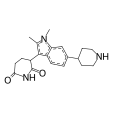 Cc1c(C2CCC(=O)NC2=O)c2ccc(C3CCNCC3)cc2n1C